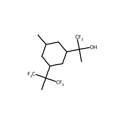 CC1CC(C(C)(O)C(F)(F)F)CC(C(C)(C(F)(F)F)C(F)(F)F)C1